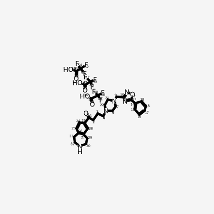 O=C(CCCN1CCN(Cc2noc(-c3ccccc3)n2)CC1)c1ccc2c(c1)CCNCC2.O=C(O)C(F)(F)F.O=C(O)C(F)(F)F.O=C(O)C(F)(F)F